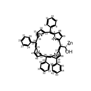 OCc1c2nc(c(-c3ccccc3)c3ccc([nH]3)c(-c3ccccc3)c3nc(c(-c4ccccc4)c4[nH]c1cc4-c1ccccc1)C=C3)C=C2.[Zn]